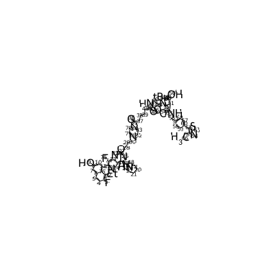 CCc1c(F)ccc2cc(O)cc(-c3ncc4c(N5CC6CCC(C5)N6)nc(OCCCN5CCN(C(=O)CCCCC(=O)NC(C(=O)N6C[C@H](O)C[C@H]6C(=O)NCc6ccc(-c7scnc7C)cc6)C(C)(C)C)CC5)nc4c3F)c12